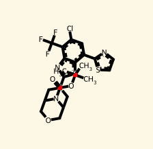 CC(C)(C)OC(=O)N1C2COCC1CN(c1nc3c(C(F)(F)F)c(Cl)cc(-c4nccs4)c3o1)C2